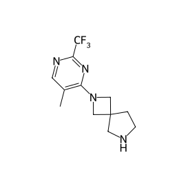 Cc1cnc(C(F)(F)F)nc1N1CC2(CCNC2)C1